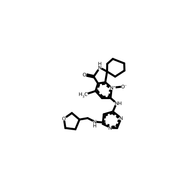 Cc1cc(Nc2cc(NCC3CCOC3)ncn2)[n+]([O-])c2c1C(=O)NC21CCCCC1